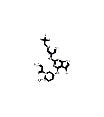 C=CC(=O)N1C[C@H](Nc2nc(N/C(C=N)=C/NCC(F)(F)F)nc3[nH]cc(Cl)c23)CC[C@@H]1C